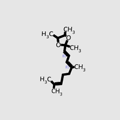 CC(C)=CCC/C(C)=C/C=C/C1(C)OC(C)C(C)O1